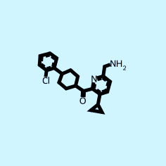 NCc1ccc(C2CC2)c(C(=O)C2CCC(c3ccccc3Cl)CC2)n1